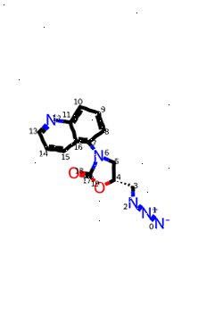 [N-]=[N+]=NC[C@H]1CN(c2cccc3ncccc23)C(=O)O1